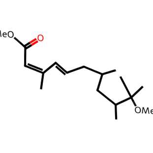 COC(=O)C=C(C)C=CCC(C)CC(C)C(C)(C)OC